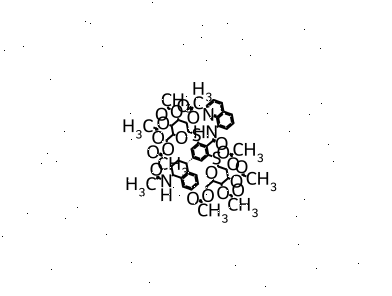 CC(=O)N[C@@H]1CC[C@H](c2cc(SC3OC(COC(C)=O)C(OC(C)=O)C(OC(C)=O)C3OC(C)=O)c(C(=O)Nc3cccc4cccnc34)c(SC3OC(COC(C)=O)C(OC(C)=O)C(OC(C)=O)C3OC(C)=O)c2)c2ccccc21